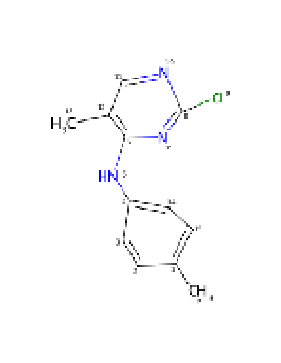 Cc1ccc(Nc2nc(Cl)ncc2C)cc1